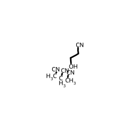 CC#N.CC#N.CC#N.N#CCCO